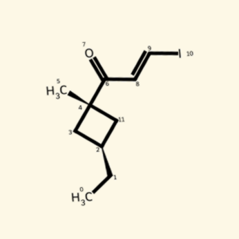 CC[C@H]1C[C@](C)(C(=O)C=CI)C1